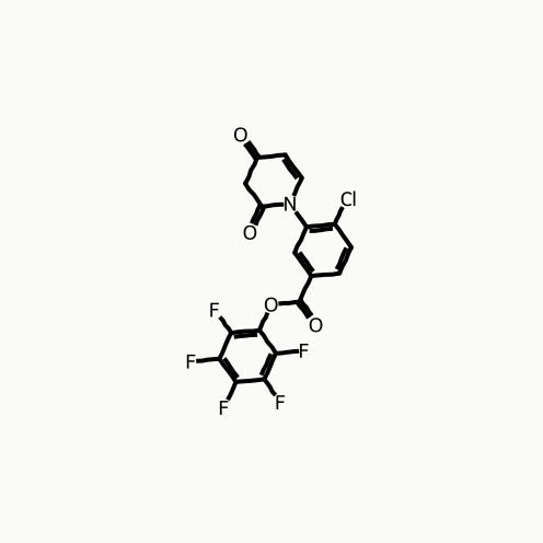 O=C1C=CN(c2cc(C(=O)Oc3c(F)c(F)c(F)c(F)c3F)ccc2Cl)C(=O)C1